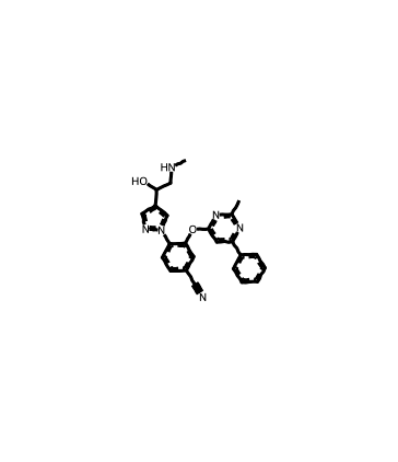 CNCC(O)c1cnn(-c2ccc(C#N)cc2Oc2cc(-c3ccccc3)nc(C)n2)c1